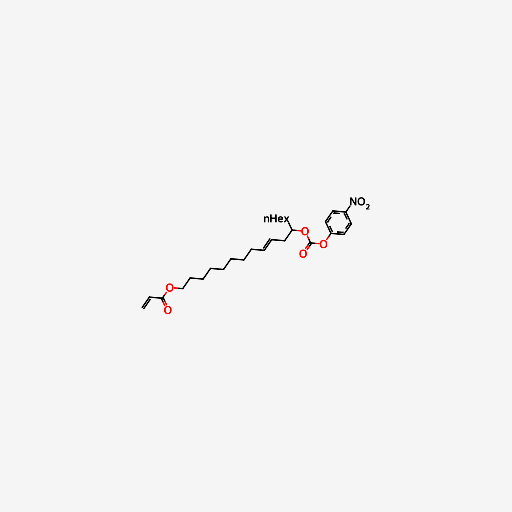 C=CC(=O)OCCCCCCCCC=CCC(CCCCCC)OC(=O)Oc1ccc([N+](=O)[O-])cc1